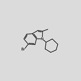 Cc1cc2ccc(Br)cc2n1C1CCCCC1